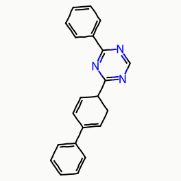 C1=CC(c2ncnc(-c3ccccc3)n2)CC=C1c1ccccc1